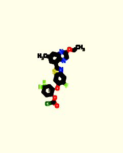 CCOc1cnc2c(-c3nc4cc(F)c(O[C@H]5CC(F)(F)CC[C@H]5OC(=O)Cl)cc4s3)cc(C)cc2n1